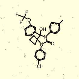 Cc1ccc(N2C(=O)N(c3ccc(Cl)cc3)C3(CCC3)C2(O)c2cccc(OC(F)(F)F)c2)cc1